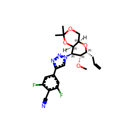 C=CC[C@H]1O[C@@H]2COC(C)(C)O[C@@H]2[C@H](n2cc(-c3cc(F)c(C#N)c(F)c3)nn2)[C@H]1OC